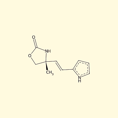 C[C@@]1(/C=C/c2ccc[nH]2)COC(=O)N1